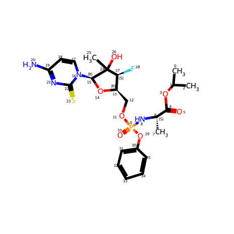 CC(C)OC(=O)[C@H](C)NP(=O)(OC[C@H]1O[C@@H](n2ccc(N)nc2=S)C(C)(O)[C@H]1F)Oc1ccccc1